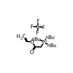 C=COC(=O)C[P+](CCCC)(CCCC)CCCC.F[B-](F)(F)F